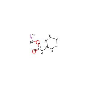 O=C(CC1CCCCC1)OCI